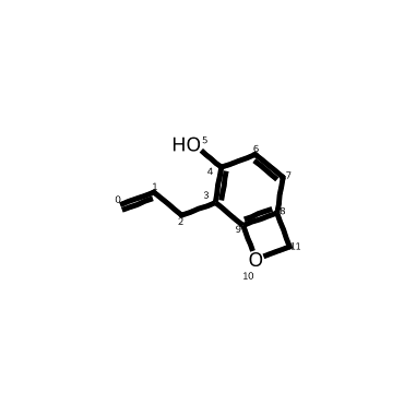 C=CCc1c(O)ccc2c1OC2